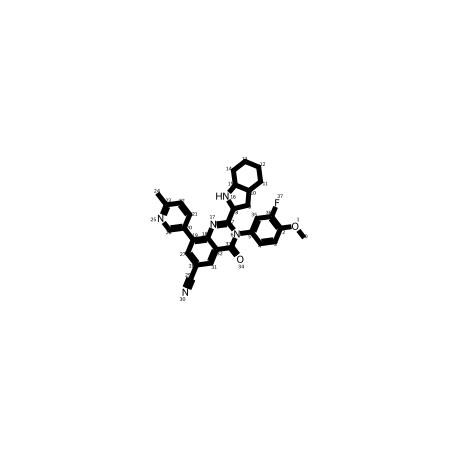 COc1ccc(-n2c(C3CC4CCCCC4N3)nc3c(-c4ccc(C)nc4)cc(C#N)cc3c2=O)cc1F